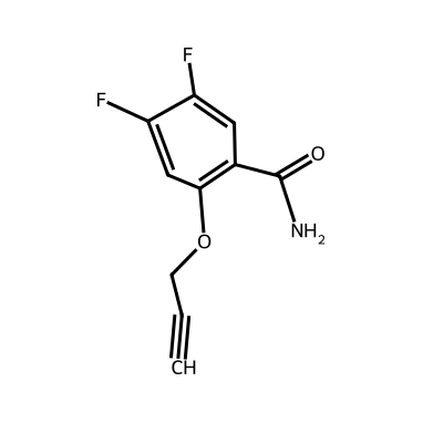 C#CCOc1cc(F)c(F)cc1C(N)=O